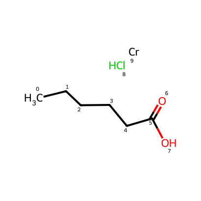 CCCCCC(=O)O.Cl.[Cr]